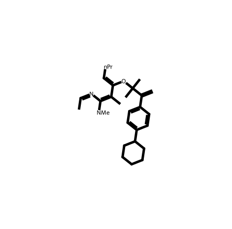 C=C(c1ccc(C2CCCCC2)cc1)C(C)(C)OC(=C\CCC)/C(C)=C(\N=C/C)NC